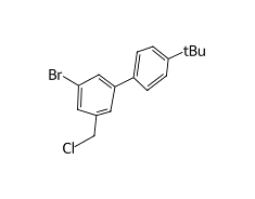 CC(C)(C)c1ccc(-c2cc(Br)cc(CCl)c2)cc1